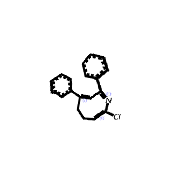 ClC1=C/CC/C(c2ccccc2)=C/C(c2ccccc2)=N\1